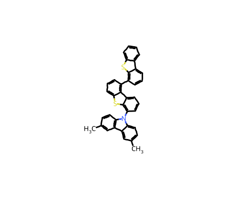 Cc1ccc2c(c1)c1cc(C)ccc1n2-c1cccc2c1sc1cccc(-c3cccc4c3sc3ccccc34)c12